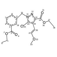 CCOC(=O)c1cccc(Cn2nc(C(=O)OCC)c(C=COC)c2Cl)c1